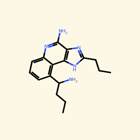 CCCc1nc2c(N)nc3cccc(C(N)CCC)c3c2[nH]1